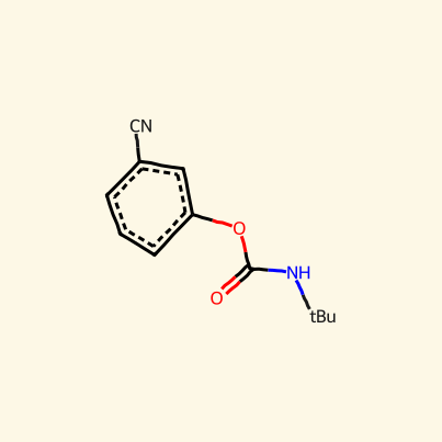 CC(C)(C)NC(=O)Oc1cccc(C#N)c1